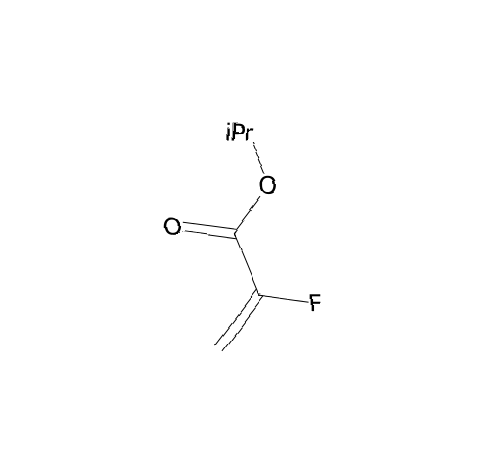 C=C(F)C(=O)OC(C)C